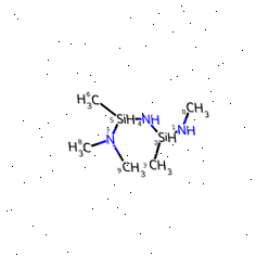 CN[SiH](C)N[SiH](C)N(C)C